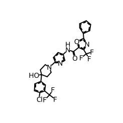 O=C(Nc1ccc(N2CCC(O)(c3ccc(Cl)c(C(F)(F)F)c3)CC2)nc1)c1oc(-c2ccccc2)nc1C(F)(F)F